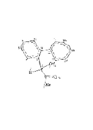 CCC(C)(C(=O)NC)c1ccccc1-c1ccccc1